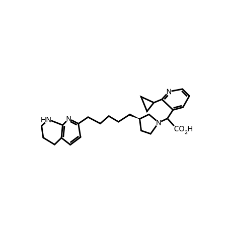 O=C(O)C(c1cccnc1C1CC1)N1CC[C@@H](CCCCCc2ccc3c(n2)NCCC3)C1